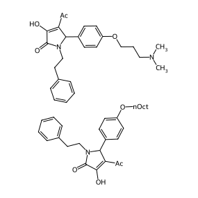 CC(=O)C1=C(O)C(=O)N(CCc2ccccc2)C1c1ccc(OCCCN(C)C)cc1.CCCCCCCCOc1ccc(C2C(C(C)=O)=C(O)C(=O)N2CCc2ccccc2)cc1